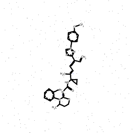 C=C/C(=C\C=C(/C)C1(NC(=O)/N=C2\SCCC(C)N2c2ccccc2C(C)C)CC1)c1ncn(-c2ccc(OC(F)(F)F)cc2)n1